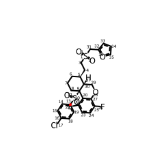 O=S(=O)(CC[C@@H]1CCC[C@@]2(S(=O)(=O)c3ccc(Cl)cc3)c3c(F)ccc(F)c3OC[C@@H]12)Cc1ccco1